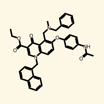 CCOC(=O)c1cn(Cc2cccc3ccccc23)c2ccc(Oc3ccc(NC(C)=O)cc3)c(CN(C)Cc3ccccc3)c2c1=O